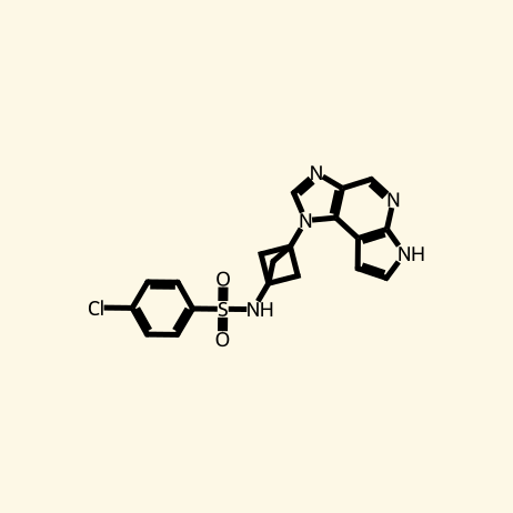 O=S(=O)(NC12CC(n3cnc4cnc5[nH]ccc5c43)(C1)C2)c1ccc(Cl)cc1